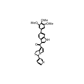 COc1cc(-c2ccc3c(C(=O)c4ccn5c4CSC5c4cccnc4)c[nH]c3c2)cc(OC)c1OC